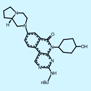 CCCCNc1ncc2c3ccc(N4CCN5CCC[C@H]5C4)cc3c(=O)n(C3CCC(O)CC3)c2n1